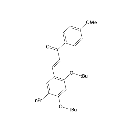 CCCc1cc(C=CC(=O)c2ccc(OC)cc2)c(OC(C)(C)C)cc1OC(C)(C)C